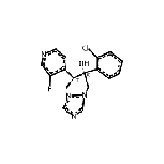 C[C@@H](c1ccncc1F)[C@](O)(Cn1cncn1)c1ccccc1Cl